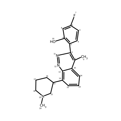 Cc1c(-c2ccc(F)cc2O)nnc2c(C3CCCN(C)C3)cccc12